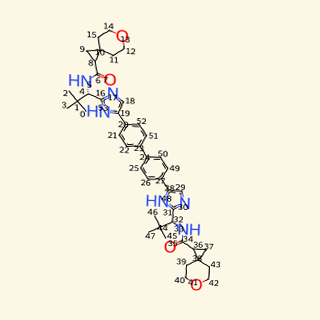 CC(C)(C)[C@H](NC(=O)C1CC12CCOCC2)c1ncc(-c2ccc(-c3ccc(-c4cnc([C@@H](NC(=O)C5CC56CCOCC6)C(C)(C)C)[nH]4)cc3)cc2)[nH]1